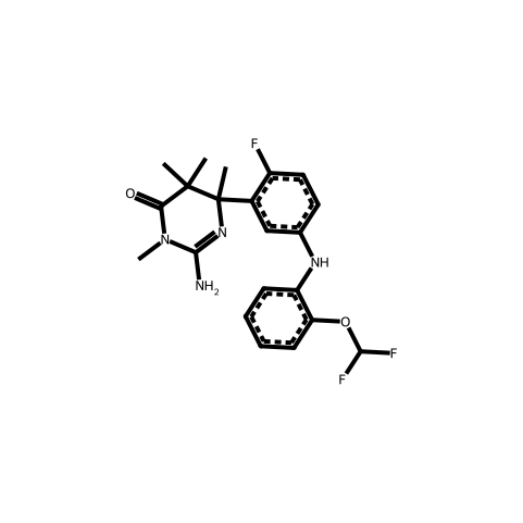 CN1C(=O)C(C)(C)C(C)(c2cc(Nc3ccccc3OC(F)F)ccc2F)N=C1N